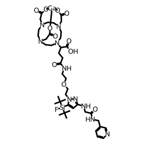 CC(C)(C)[Si](F)(c1cc(NCC(=O)NCc2cccnc2)nn1CCOCCNC(=O)CCC(C(=O)O)N1CCN2CCN3CCN(CC1)CC(=O)[O][Ga]([O]C(=O)C3)[O]C(=O)C2)C(C)(C)C